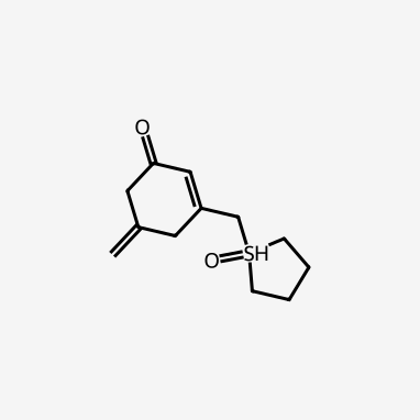 C=C1CC(=O)C=C(C[SH]2(=O)CCCC2)C1